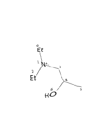 CC[N+](CC)CC(C)O